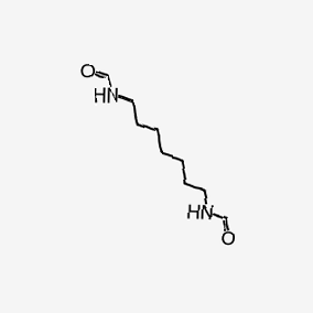 O=CNCCCCCCCNC=O